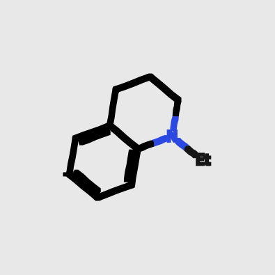 CCN1CCCc2c[c]ccc21